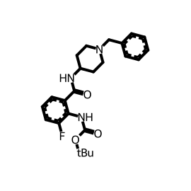 CC(C)(C)OC(=O)Nc1c(F)cccc1C(=O)NC1CCN(Cc2ccccc2)CC1